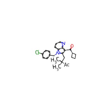 CC(=O)C(C)(C)Cc1c(C(=O)C2CCC2)c2ncccc2n1Cc1ccc(Cl)cc1